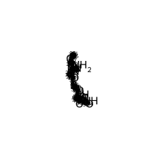 Nc1ncnc2c1c(-c1ccc(Oc3ccccc3)cc1)nn2[C@@H]1CCCN(C(=O)CCCN2CCN(C(=O)CNc3cccc4c3C(=O)N(C3CCC(=O)NC3=O)C4=O)CC2)C1